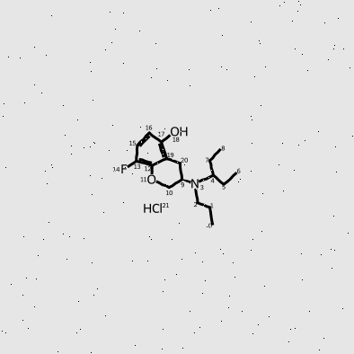 CCCN(C(CC)CC)[C@H]1COc2c(F)ccc(O)c2C1.Cl